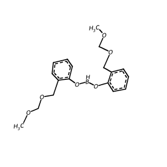 COCOCc1ccccc1OBOc1ccccc1COCOC